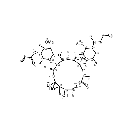 C=CC(=O)O[C@H]1[C@H](C)O[C@@H](O[C@H]2[C@H](C)[C@@H](O[C@@H]3O[C@H](C)C[C@H](N(C)CCC#N)[C@H]3OC(C)=O)[C@](C)(OC)C[C@@H](C)C(=O)N[C@H](C)[C@@H](O)[C@](C)(O)[C@@H](CC)OC(=O)[C@@H]2C)C[C@@]1(C)OC